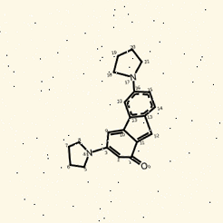 O=C1C=C(N2CCCC2)C=C2C1=Cc1ccc(N3CCCC3)cc12